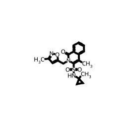 Cc1cc(Cn2c(S(=O)(=O)NC3(C)CC3)c(C)c3ccccc3c2=O)on1